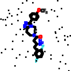 N[C@@H](CC(=O)N1CCc2nnc(-c3ccc(OC(F)(F)F)cc3)n2CC1)Cc1cc(F)ccc1F